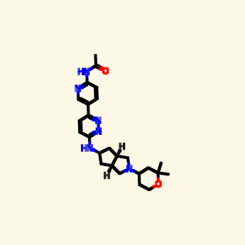 CC(=O)Nc1ccc(-c2ccc(N[C@H]3C[C@@H]4CN(C5CCOC(C)(C)C5)C[C@@H]4C3)nn2)cn1